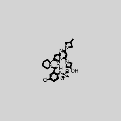 CC1CN(c2cc(N3CC(O)C3)n3nc([C@@H]4CCCCN4C(=O)c4cc(Cl)ccc4NS(C)(=O)=O)cc3n2)C1